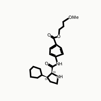 COCCCOC(=O)c1ccc(NC(=O)[C@H]2NCC[C@H]2C2CCCCC2)cc1